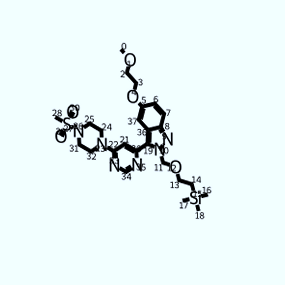 COCCOc1ccc2nn(COCC[Si](C)(C)C)c(-c3cc(N4CCN(S(C)(=O)=O)CC4)ncn3)c2c1